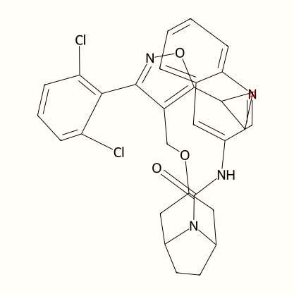 O=C(Nc1cnc2ccccc2c1)N1C2CCC1CC(OCc1c(-c3c(Cl)cccc3Cl)noc1C1CC1)C2